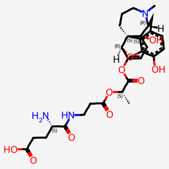 C[C@H](OC(=O)CCNC(=O)[C@@H](N)CCC(=O)O)C(=O)OC1=CC[C@@]2(O)[C@H]3Cc4ccc(O)c5c4[C@@]2(CCCN3C)[C@H]1O5